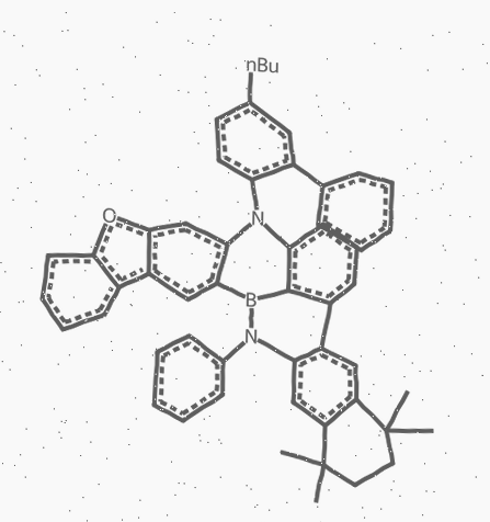 CCCCc1ccc(N2c3cc4oc5ccccc5c4cc3B3c4c(cccc42)-c2cc4c(cc2N3c2ccccc2)C(C)(C)CCC4(C)C)c(-c2ccccc2)c1